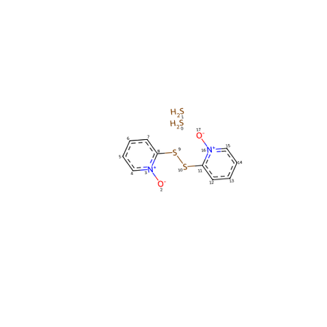 S.S.[O-][n+]1ccccc1SSc1cccc[n+]1[O-]